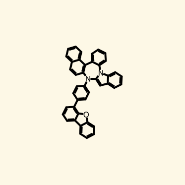 c1ccc2c(c1)-c1c(ccc3ccccc13)N(c1ccc(-c3cccc4c3oc3ccccc34)cc1)c1cc3ccccc3n1-2